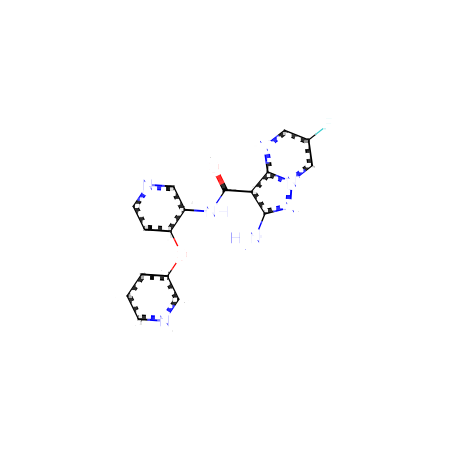 Nc1nn2cc(F)cnc2c1C(=O)Nc1cnccc1Oc1cccnc1